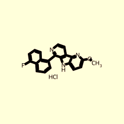 COc1ccc2[nH]c3c(-c4cccc5c(F)cccc45)nccc3c2n1.Cl